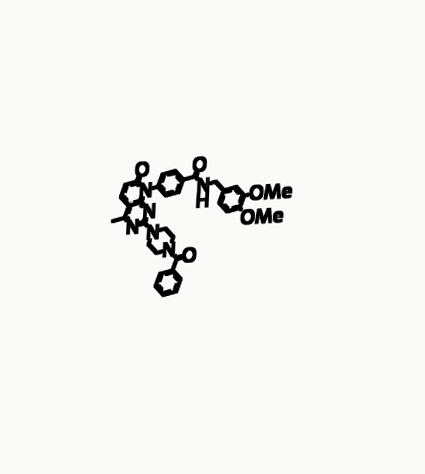 COc1ccc(CNC(=O)c2ccc(-n3c(=O)ccc4c(C)nc(N5CCN(C(=O)c6ccccc6)CC5)nc43)cc2)cc1OC